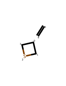 C1CSC1.C=C